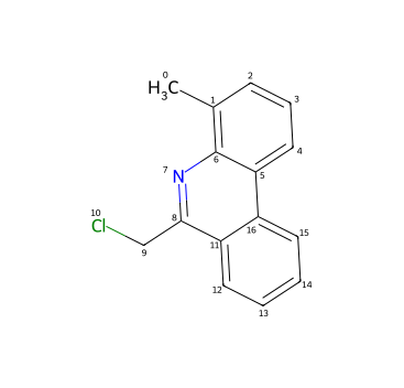 Cc1cccc2c1nc(CCl)c1ccccc12